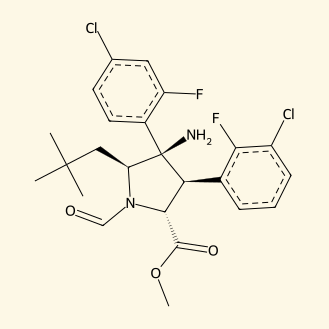 COC(=O)[C@H]1[C@H](c2cccc(Cl)c2F)[C@@](N)(c2ccc(Cl)cc2F)[C@H](CC(C)(C)C)N1C=O